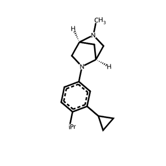 CC(C)c1ccc(N2C[C@@H]3C[C@H]2CN3C)cc1C1CC1